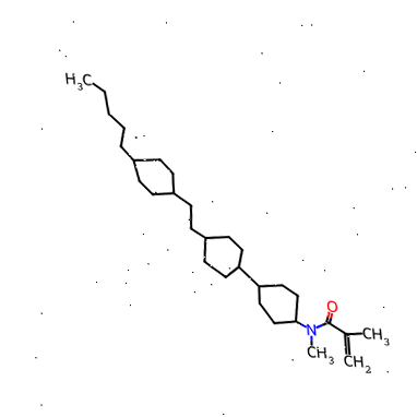 C=C(C)C(=O)N(C)C1CCC(C2CCC(CCC3CCC(CCCCC)CC3)CC2)CC1